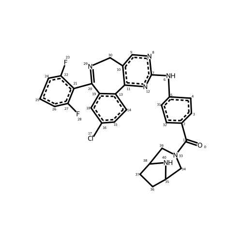 O=C(c1ccc(Nc2ncc3c(n2)-c2ccc(Cl)cc2C(c2c(F)cccc2F)=NC3)cc1)N1CC2CCC(C1)N2